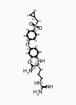 N=C(N)NCCC[C@H](Nc1ccc(Oc2ccc(S(=O)(=O)CC3CC3)cc2)cc1)C(N)=O